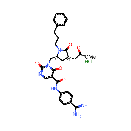 COC(=O)C[C@@H]1C[C@@H](Cn2c(=O)[nH]cc(C(=O)Nc3ccc(C(=N)N)cc3)c2=O)N(CCCc2ccccc2)C1=O.Cl